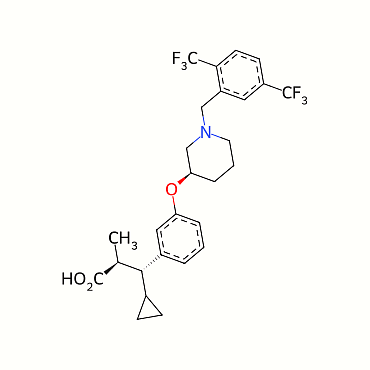 C[C@H](C(=O)O)[C@H](c1cccc(O[C@@H]2CCCN(Cc3cc(C(F)(F)F)ccc3C(F)(F)F)C2)c1)C1CC1